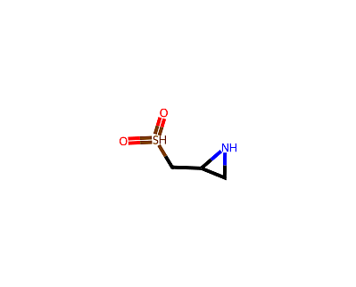 O=[SH](=O)CC1CN1